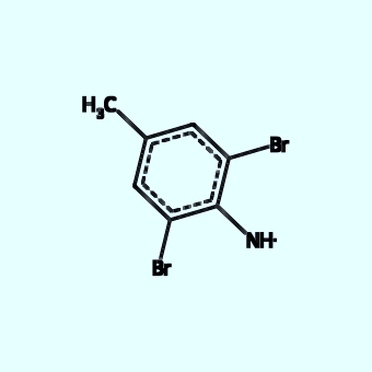 Cc1cc(Br)c([NH])c(Br)c1